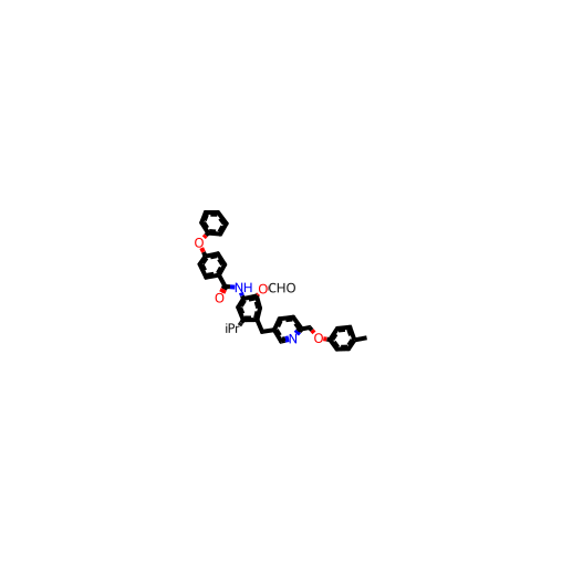 Cc1ccc(OCc2ccc(Cc3cc(OC=O)c(NC(=O)c4ccc(Oc5ccccc5)cc4)cc3C(C)C)cn2)cc1